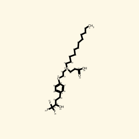 CCCCCCCCCCCCN(CCOc1ccc(CCC(O)C(F)(F)F)cc1)CCC(=O)O